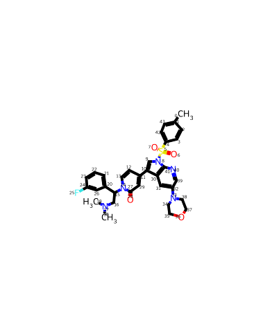 Cc1ccc(S(=O)(=O)n2cc(-c3ccn(C(CN(C)C)c4cccc(F)c4)c(=O)c3)c3cc(N4CCOCC4)cnc32)cc1